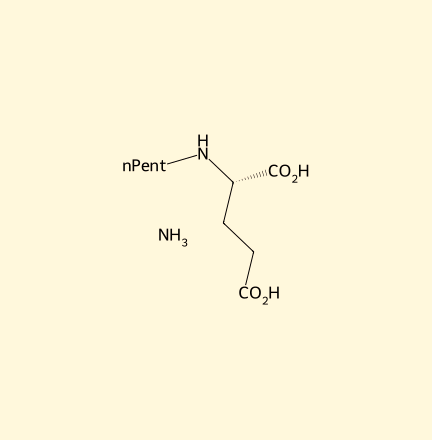 CCCCCN[C@@H](CCC(=O)O)C(=O)O.N